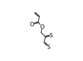 C=CC(=O)OCC(=S)C=S